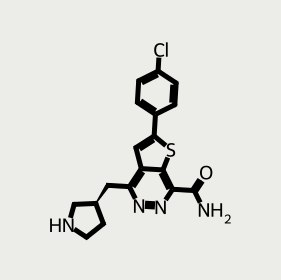 NC(=O)c1nnc(C[C@H]2CCNC2)c2cc(-c3ccc(Cl)cc3)sc12